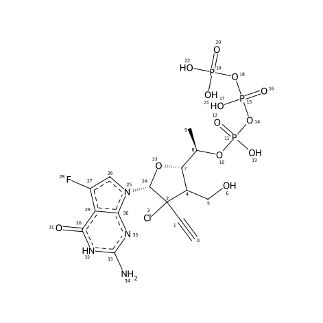 C#CC1(Cl)C(CO)[C@@H]([C@@H](C)OP(=O)(O)OP(=O)(O)OP(=O)(O)O)O[C@H]1n1cc(F)c2c(=O)[nH]c(N)nc21